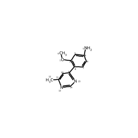 COc1cc(N)ccc1-c1cc(C)ncn1